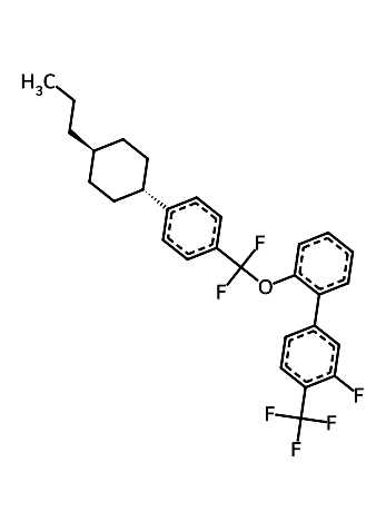 CCC[C@H]1CC[C@H](c2ccc(C(F)(F)Oc3ccccc3-c3ccc(C(F)(F)F)c(F)c3)cc2)CC1